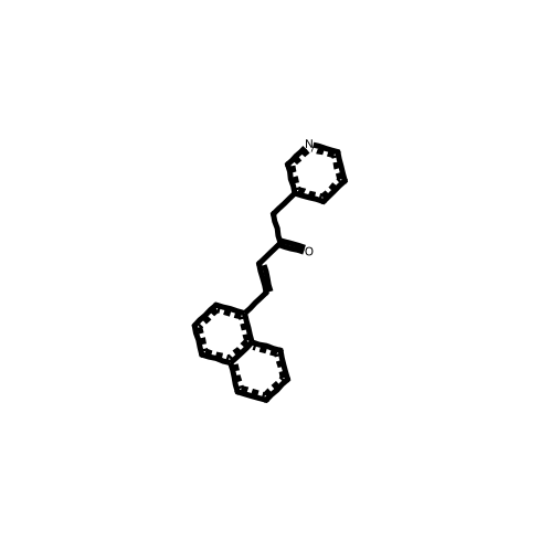 O=C(C=Cc1cccc2ccccc12)Cc1cccnc1